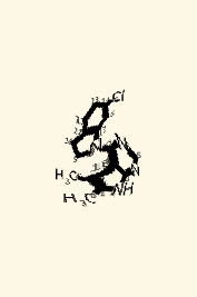 Cc1[nH]c2ncnc(N3CCc4ccc(Cl)cc43)c2c1C